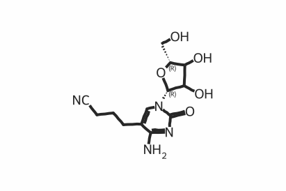 N#CCCCc1cn([C@@H]2O[C@H](CO)C(O)C2O)c(=O)nc1N